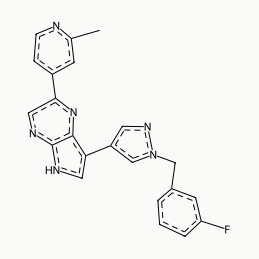 Cc1cc(-c2cnc3[nH]cc(-c4cnn(Cc5cccc(F)c5)c4)c3n2)ccn1